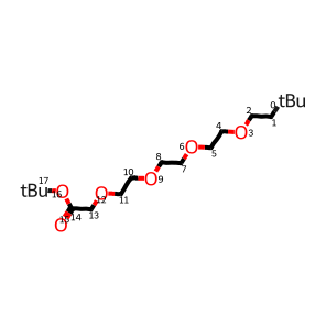 CC(C)(C)CCOCCOCCOCCOCC(=O)OC(C)(C)C